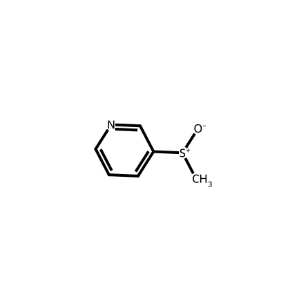 C[S+]([O-])c1cccnc1